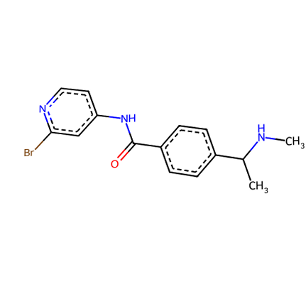 CNC(C)c1ccc(C(=O)Nc2ccnc(Br)c2)cc1